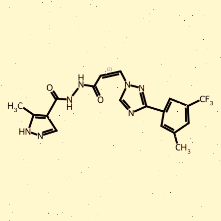 Cc1cc(-c2ncn(/C=C\C(=O)NNC(=O)c3cn[nH]c3C)n2)cc(C(F)(F)F)c1